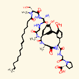 CCCCCCCCCCCCCCCC(=O)N(C)[C@H](CO)C(=O)N[C@H](N)C(=O)NCC(=O)N(C)[C@@H]1C(=O)N[C@@H](C)C(=O)N[C@H](C(=O)NCC(=O)N2CCC[C@@H]2C(=O)O)Cc2ccc(O)c(c2)-c2cc1ccc2O